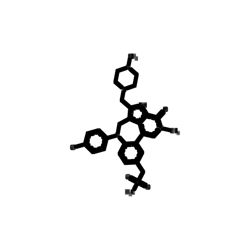 CN1CCN(Cc2[nH]c3c(=O)n(C)cc4c3c2CN(c2ccc(Cl)cc2)c2ccc(CS(C)(=O)=O)cc2-4)CC1